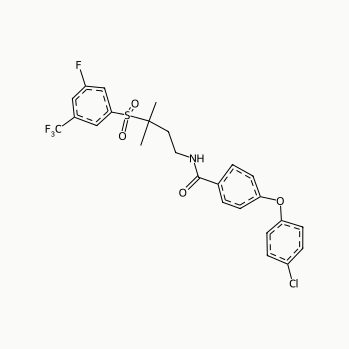 CC(C)(CCNC(=O)c1ccc(Oc2ccc(Cl)cc2)cc1)S(=O)(=O)c1cc(F)cc(C(F)(F)F)c1